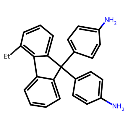 [CH2]Cc1cccc2c1-c1ccccc1C2(c1ccc(N)cc1)c1ccc(N)cc1